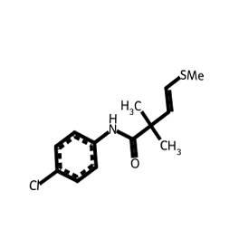 CSC=CC(C)(C)C(=O)Nc1ccc(Cl)cc1